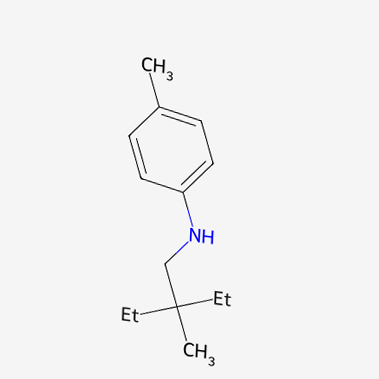 CCC(C)(CC)CNc1ccc(C)cc1